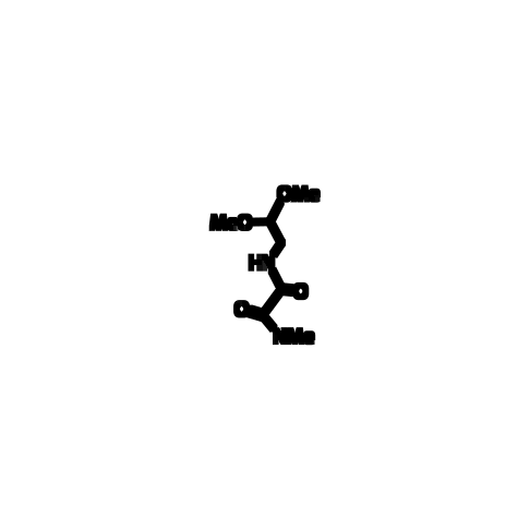 CNC(=O)C(=O)NCC(OC)OC